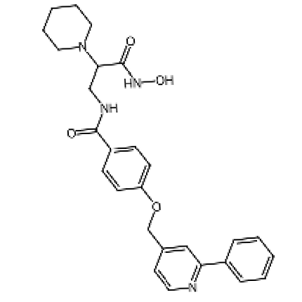 O=C(NCC(C(=O)NO)N1CCCCC1)c1ccc(OCc2ccnc(-c3ccccc3)c2)cc1